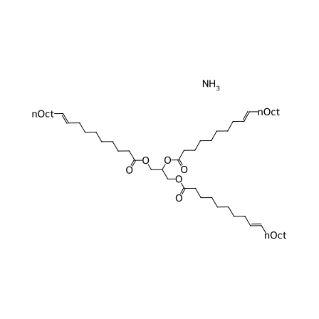 CCCCCCCC/C=C/CCCCCCCC(=O)OCC(COC(=O)CCCCCCC/C=C/CCCCCCCC)OC(=O)CCCCCCC/C=C/CCCCCCCC.N